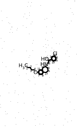 CCCCCOc1ccc2c(c1)CC(NC[C@H](O)c1cccc(Cl)c1)CCC2